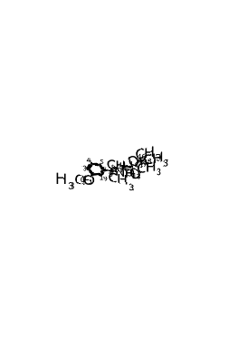 COc1cccc(C(C)(C)NCC(=O)OC(C)(C)C)c1